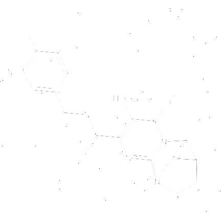 O=C(NCc1ccc(F)cc1)c1nc2n(c(=O)c1O)CC1CCN2CC1